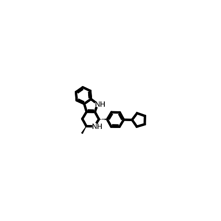 C[C@H]1Cc2c([nH]c3ccccc23)[C@H](c2ccc(C3CCCC3)cc2)N1